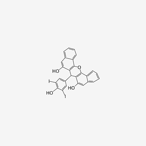 Oc1cc2ccccc2c2c1C(c1cc(I)c(O)c(I)c1)c1c(O)cc3ccccc3c1O2